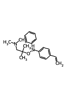 C=Cc1ccc([SiH](OC(C)(C)CN(C)C)c2ccccc2)cc1